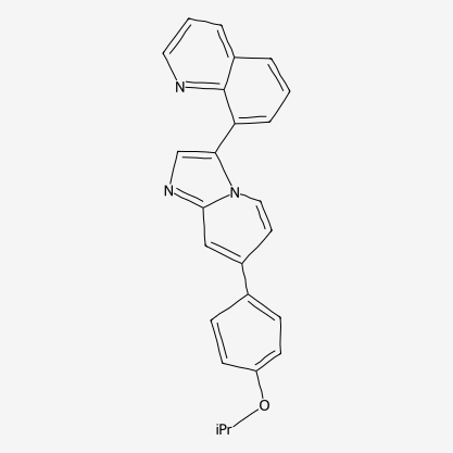 CC(C)Oc1ccc(-c2ccn3c(-c4cccc5cccnc45)cnc3c2)cc1